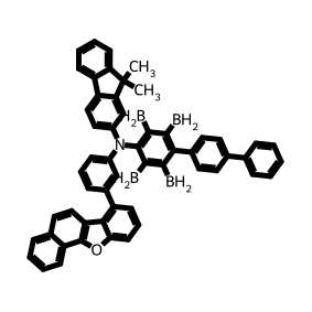 Bc1c(B)c(N(c2cccc(-c3cccc4oc5c6ccccc6ccc5c34)c2)c2ccc3c(c2)C(C)(C)c2ccccc2-3)c(B)c(B)c1-c1ccc(-c2ccccc2)cc1